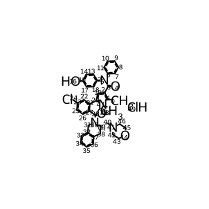 Cc1c(C(=O)N(c2ccccc2)c2ccc(O)cc2)cc(-c2cc(Cl)ccc2C(=O)N2Cc3ccccc3C[C@H]2CN2CCOCC2)n1C.Cl